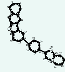 c1ccc2cc3c(cc2c1)oc1ccc(-c2ccc(-c4cn5ccccc5n4)cc2)cc13